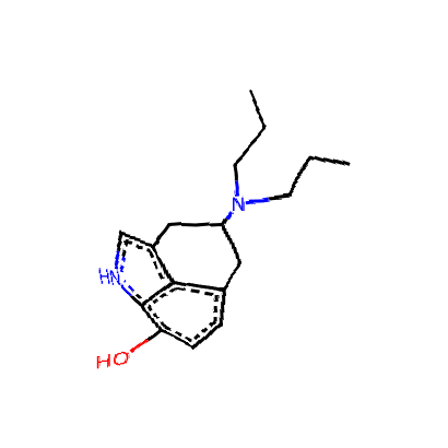 CCCN(CCC)C1Cc2ccc(O)c3[nH]cc(c23)C1